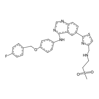 CS(=O)(=O)CCNCc1csc(-c2ccc3ncnc(Nc4ccc(OCc5ccc(F)cc5)cc4)c3c2)n1